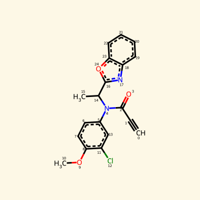 C#CC(=O)N(c1ccc(OC)c(Cl)c1)C(C)c1nc2ccccc2o1